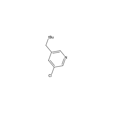 CC(C)(C)Cc1cncc(Cl)c1